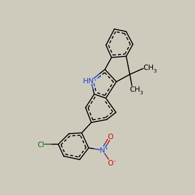 CC1(C)c2ccccc2-c2[nH]c3cc(-c4cc(Cl)ccc4[N+](=O)[O-])ccc3c21